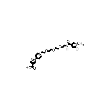 CN1CC(C(=O)NCCOCCOCCOCCN2CCC(n3cc(C(=O)O)cn3)CC2)CC1=O